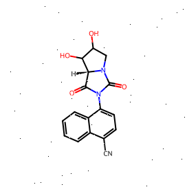 N#Cc1ccc(N2C(=O)[C@@H]3C(O)C(O)CN3C2=O)c2ccccc12